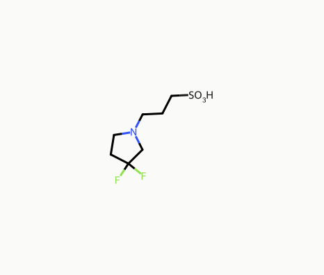 O=S(=O)(O)CCCN1CCC(F)(F)C1